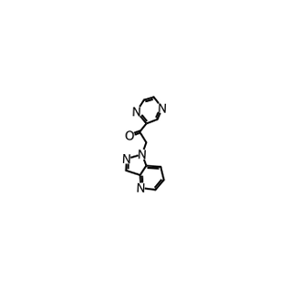 O=C(Cn1ncc2ncccc21)c1cnccn1